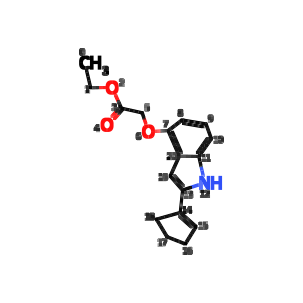 CCOC(=O)COc1cccc2[nH]c(C3=CCCC3)cc12